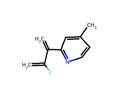 C=C(F)C(=C)c1cc(C)ccn1